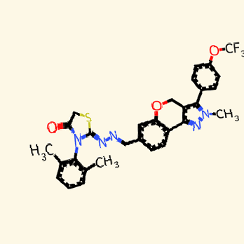 Cc1cccc(C)c1N1C(=O)CSC1=NN=Cc1ccc2c(c1)OCc1c-2nn(C)c1-c1ccc(OC(F)(F)F)cc1